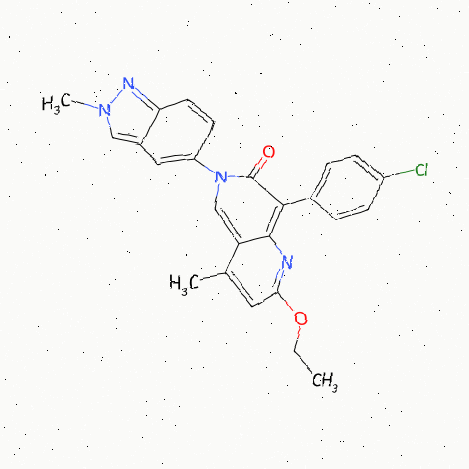 CCOc1cc(C)c2cn(-c3ccc4nn(C)cc4c3)c(=O)c(-c3ccc(Cl)cc3)c2n1